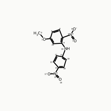 COc1ccc([N+](=O)[O-])c(Nc2ccc([N+](=O)[O-])cc2)c1